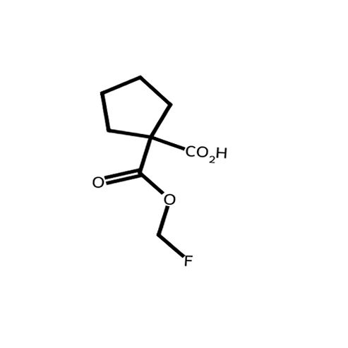 O=C(O)C1(C(=O)OCF)CCCC1